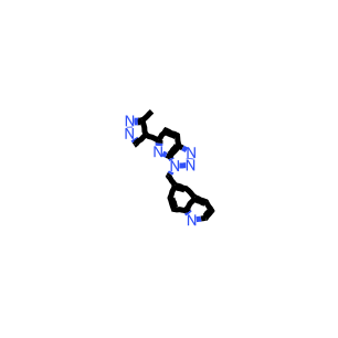 CC1=NN=CC1c1ccc2nnn(Cc3ccc4ncccc4c3)c2n1